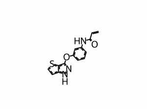 C=CC(=O)Nc1cccc(Oc2n[nH]c3ccsc23)c1